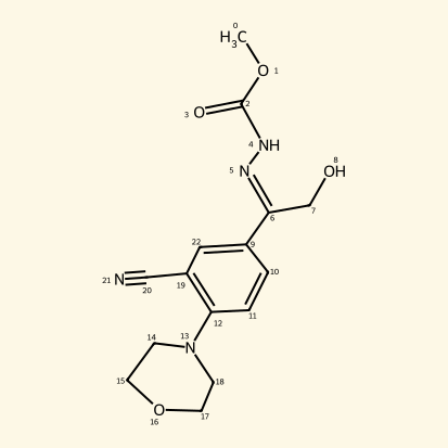 COC(=O)NN=C(CO)c1ccc(N2CCOCC2)c(C#N)c1